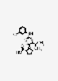 CC(C)C(NC(=O)Nc1cccc(Cl)c1)C(=O)N1CCC[C@H]1C(=O)O